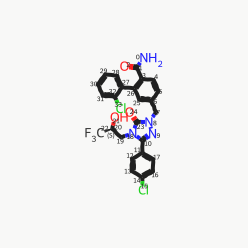 NC(=O)c1ccc(Cn2nc(-c3ccc(Cl)cc3)n(C[C@H](O)C(F)(F)F)c2=O)cc1-c1ccccc1Cl